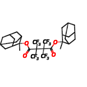 CC1(OC(=O)C(C(F)(F)F)(C(F)(F)F)C(C(=O)OC2(C)C3CC4CC(C3)CC2C4)(C(F)(F)F)C(F)(F)F)C2CC3CC(C2)CC1C3